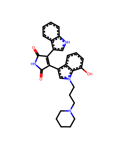 O=C1NC(=O)C(c2cn(CCCN3CCCCC3)c3c(O)cccc23)=C1c1c[nH]c2ccccc12